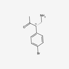 CC(=O)[C@H](CN)c1ccc(Br)cc1